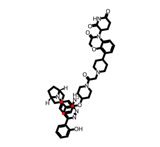 Nc1nnc(-c2ccccc2O)cc1N1C[C@H]2CC[C@@H](C1)N2c1cccc(OC2CCN(C(=O)CN3CCC(c4cccc5c4OCC(=O)N5C4CCC(=O)NC4=O)CC3)CC2)c1